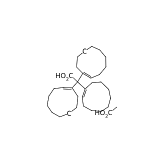 CC(=O)O.O=C(O)C(C1=CCCCCCCCC1)(C1=CCCCCCCCC1)C1=CCCCCCCCC1